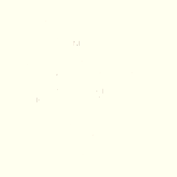 CCCCC(O)c1[nH]c2ccccc2c1C(O)CCCC